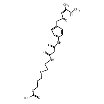 CN/C(C)=C\C(=O)Cc1ccc(NC(=O)CC(=O)NCCOCCCOC(C)=O)cc1